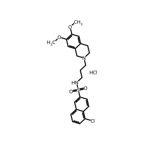 COc1cc2c(cc1OC)CN(CCCNS(=O)(=O)c1ccc3c(Cl)cccc3c1)CC2.Cl